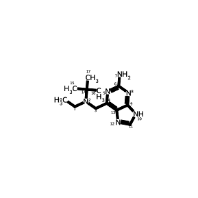 CCN(Cc1nc(N)nc2[nH]cnc12)C(C)(C)C